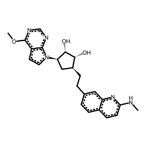 CNc1ccc2ccc(CC[C@H]3C[C@@H](n4ccc5c(OC)ncnc54)[C@H](O)[C@@H]3O)cc2n1